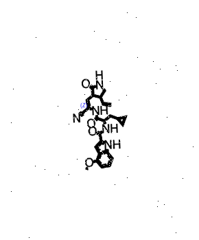 C=CC1CNC(=O)C1/C=C(/C#N)NC(=O)C(CC1CC1)NC(=O)c1cc2c(OC)cccc2[nH]1